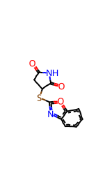 O=C1CC(Sc2nc3ccccc3o2)C(=O)N1